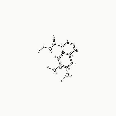 C=C(OCC)c1ccnc2cc(OC)c(OC)nc12